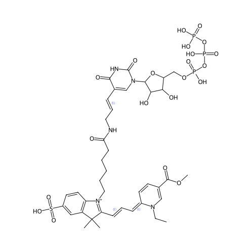 CCN1C=C(C(=O)OC)C=C/C1=C\C=C\C1=[N+](CCCCCC(=O)NC/C=C/c2cn(C3OC(COP(=O)(O)OP(=O)(O)OP(=O)(O)O)C(O)C3O)c(=O)[nH]c2=O)c2ccc(S(=O)(=O)O)cc2C1(C)C